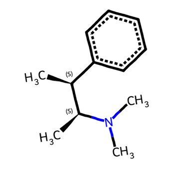 C[C@@H](c1ccccc1)[C@H](C)N(C)C